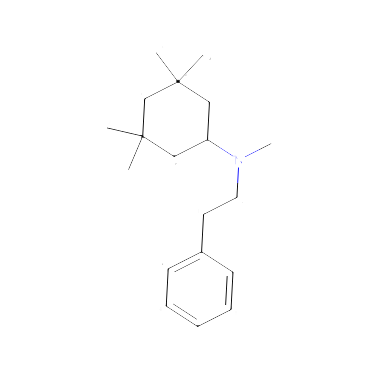 CN(CCc1ccccc1)C1CC(C)(C)CC(C)(C)C1